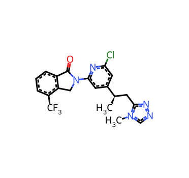 C[C@H](Cc1nncn1C)c1cc(Cl)nc(N2Cc3c(cccc3C(F)(F)F)C2=O)c1